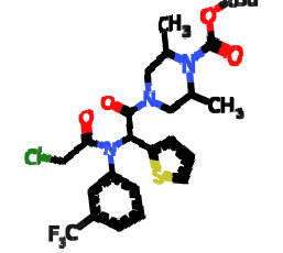 CC1CN(C(=O)C(c2cccs2)N(C(=O)CCl)c2cccc(C(F)(F)F)c2)CC(C)N1C(=O)OC(C)(C)C